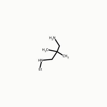 CCNCC(C)(C)CN